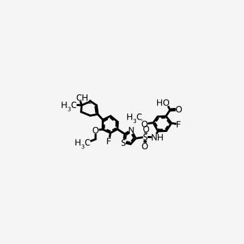 CCOc1c(C2=CCC(C)(C)CC2)ccc(-c2nc(S(=O)(=O)Nc3cc(F)c(C(=O)O)cc3OC)cs2)c1F